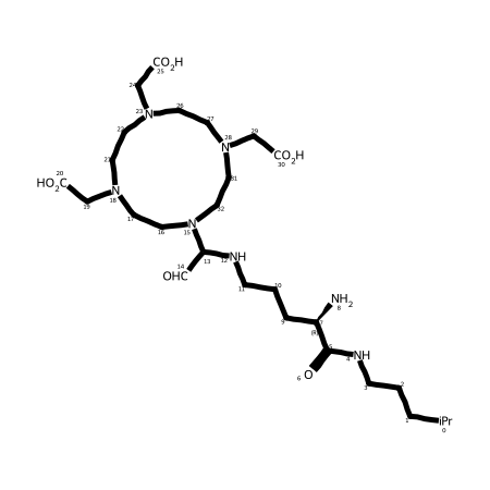 CC(C)CCCNC(=O)[C@H](N)CCCNC(C=O)N1CCN(CC(=O)O)CCN(CC(=O)O)CCN(CC(=O)O)CC1